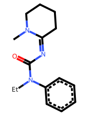 CCN(C(=O)N=C1CCCCN1C)c1ccccc1